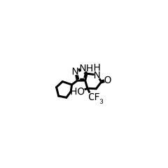 O=C1CC(O)(C(F)(F)F)c2c(C3CCCCC3)n[nH]c2N1